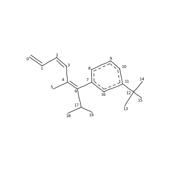 C=C/C=C\C(C)=C(/c1cccc(C(C)(C)C)c1)C(C)C